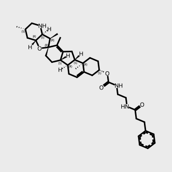 CC1=C2C[C@H]3[C@@H](CC=C4C[C@@H](OC(=O)NCCNC(=O)CCc5ccccc5)CC[C@@]43C)[C@@H]2CC[C@]12O[C@@H]1C[C@H](C)CN[C@H]1[C@H]2C